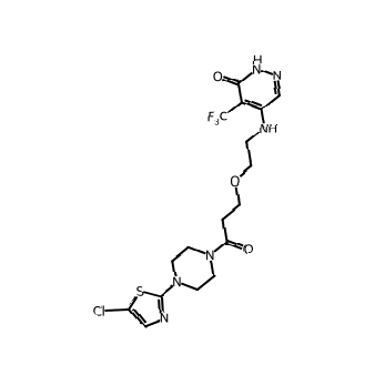 O=C(CCOCCNc1cn[nH]c(=O)c1C(F)(F)F)N1CCN(c2ncc(Cl)s2)CC1